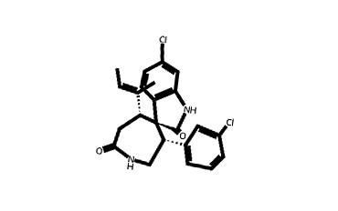 C/C=C(\C)[C@H]1CC(=O)NC[C@@H](c2cccc(Cl)c2)[C@]12C(=O)Nc1cc(Cl)ccc12